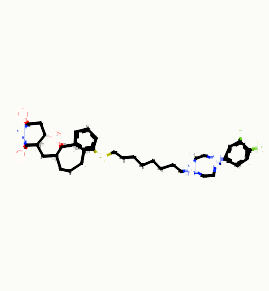 O=C1CCC(CC2CCCc3c(SCCCCCCCCN4CCN(c5ccc(F)c(F)c5)CC4)cccc3C2=O)C(=O)N1